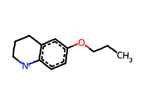 CCCOc1ccc2c(c1)CCC[N]2